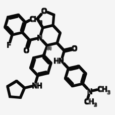 Cc1cccc(F)c1C(=O)N1C2COCC2CC(C(=O)Nc2ccc(N(C)C)cc2)[C@H]1c1ccc(NC2CCCC2)cc1